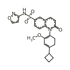 COC1=C(n2c(=O)ccc3cc(S(=O)(=O)Nc4ccon4)ccc32)CCC(C2CCC2)=C1